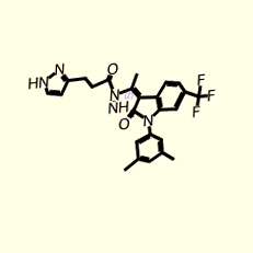 C/C(=C1/C(=O)N(c2cc(C)cc(C)c2)c2cc(C(F)(F)F)ccc21)N(N)C(=O)CCc1cc[nH]n1